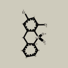 CCc1cc(CC)c2c(c1)Cc1ccccc1S2(=O)=O